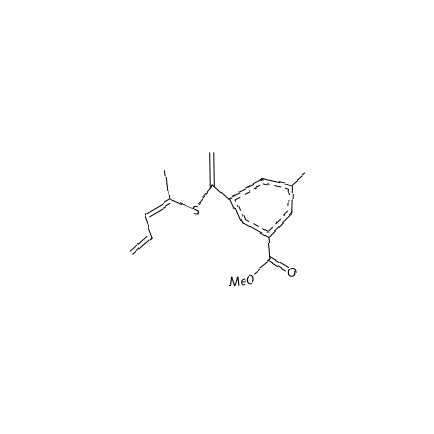 C=C/C=C(/C)SC(=C)c1cc(C)cc(C(=O)OC)c1